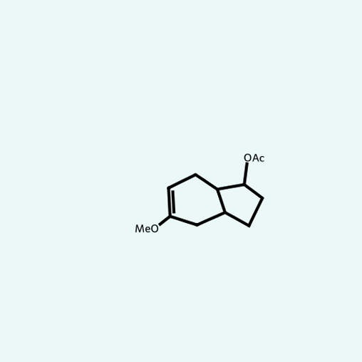 COC1=CCC2C(CCC2OC(C)=O)C1